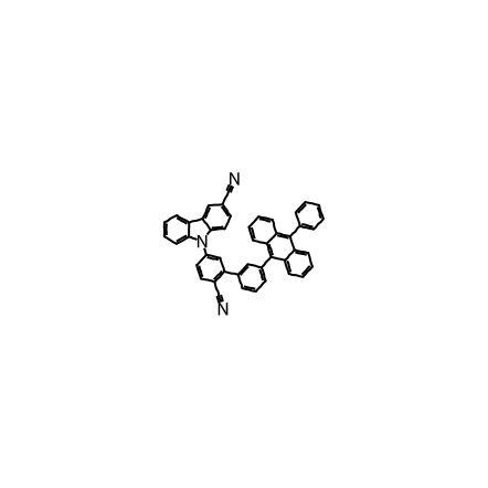 N#Cc1ccc2c(c1)c1ccccc1n2-c1ccc(C#N)c(-c2cccc(-c3c4ccccc4c(-c4ccccc4)c4ccccc34)c2)c1